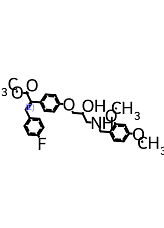 COC(=O)/C(=C/c1ccc(F)cc1)c1ccc(OCC(O)CNCc2ccc(OC)cc2OC)cc1